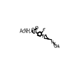 CC(=O)NC[C@H]1CN(c2ccc(N3CC4C(C/N=N/O)C4C3)c(F)c2)C(=O)O1